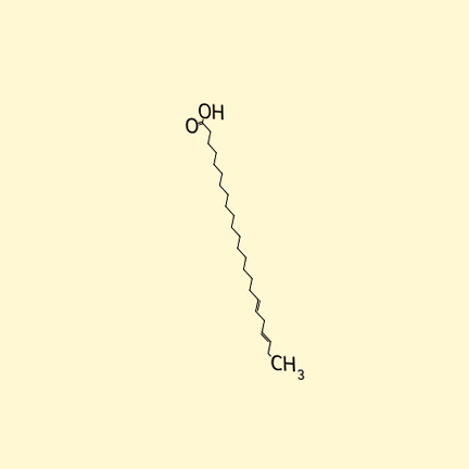 CCC=CCC=CCCCCCCCCCCCCCCCCC(=O)O